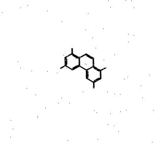 Fc1[c]c(F)c2ccc3c(F)[c]c(F)cc3c2c1